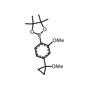 COc1cc(C2(OC)CC2)ccc1B1OC(C)(C)C(C)(C)O1